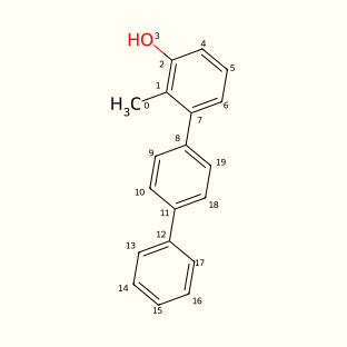 Cc1c(O)cccc1-c1ccc(-c2ccccc2)cc1